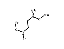 CC[SiH](CC[SiH](C)OC(C)(C)C)OC(C)C